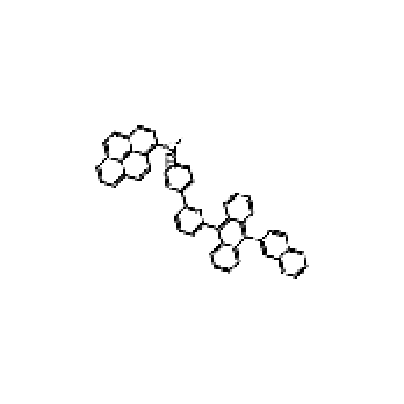 C[SiH](c1ccc(-c2cccc(-c3c4ccccc4c(-c4ccc5ccccc5c4)c4ccccc34)c2)cc1)c1ccc2ccc3cccc4ccc1c2c34